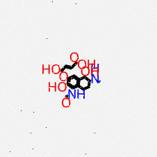 CN[C@@H]1CCc2c(ccc(O)c2NC=O)[C@H]1O.O=C(O)/C=C/C(=O)O